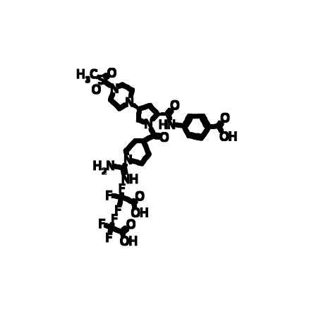 CS(=O)(=O)N1CCN([C@H]2C[C@@H](C(=O)Nc3ccc(C(=O)O)cc3)N(C(=O)C3CCN(C(=N)N)CC3)C2)CC1.O=C(O)C(F)(F)F.O=C(O)C(F)(F)F